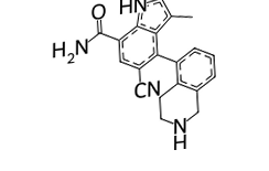 Cc1[nH]c2c(C(N)=O)cc(C#N)c(-c3cccc4c3CCNC4)c2c1C